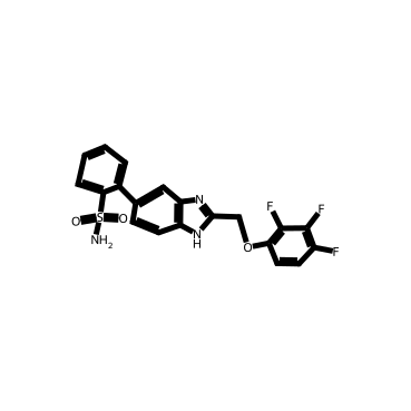 NS(=O)(=O)c1ccccc1-c1ccc2[nH]c(COc3ccc(F)c(F)c3F)nc2c1